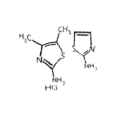 Cc1nc(N)sc1C.Cl.Nc1nccs1